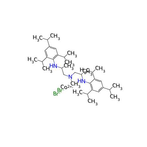 CC(CN(C)CC(C)Nc1c(C(C)C)cc(C(C)C)cc1C(C)C)Nc1c(C(C)C)cc(C(C)C)cc1C(C)C.[Br-].[Br-].[Co+2]